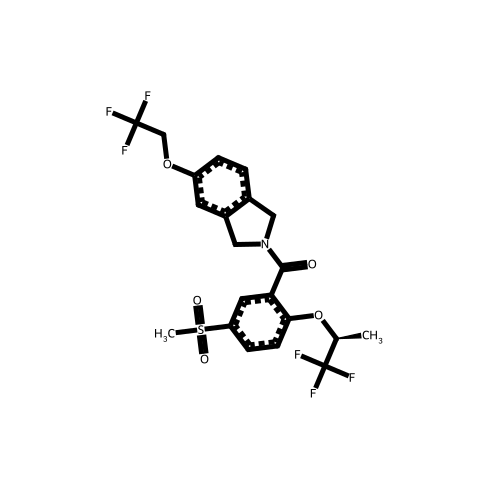 C[C@H](Oc1ccc(S(C)(=O)=O)cc1C(=O)N1Cc2ccc(OCC(F)(F)F)cc2C1)C(F)(F)F